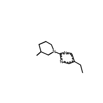 CCc1cnc(N2CCCC(C)C2)nc1